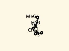 COc1cccc(C=CC(=O)NCC(=O)N(C)c2ccc(Cl)c(COc3cccc4sc(-c5ccccc5)nc34)c2Cl)c1